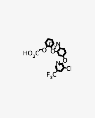 O=C(O)COc1ccccc1Oc1cc(Oc2ncc(C(F)(F)F)cc2Cl)ccc1[N+](=O)[O-]